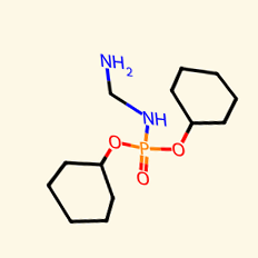 NCNP(=O)(OC1CCCCC1)OC1CCCCC1